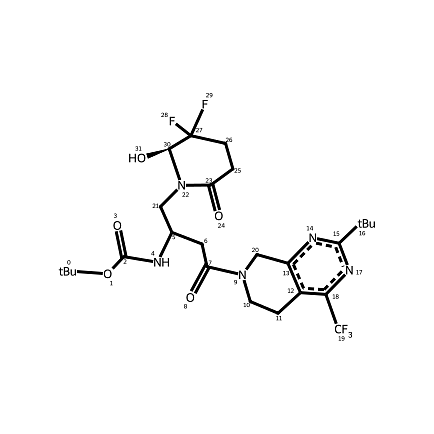 CC(C)(C)OC(=O)NC(CC(=O)N1CCc2c(nc(C(C)(C)C)nc2C(F)(F)F)C1)CN1C(=O)CCC(F)(F)[C@@H]1O